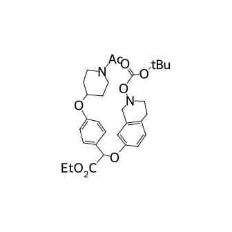 CCOC(=O)C(Oc1ccc2c(c1)CN(OC(=O)OC(C)(C)C)CC2)c1ccc(OC2CCN(C(C)=O)CC2)cc1